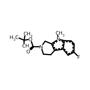 Cn1c2c(c3cc(F)ccc31)CCN(C(=O)OC(C)(C)C)C2